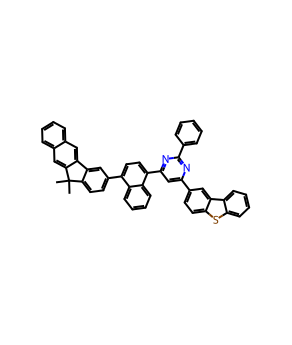 CC1(C)c2ccc(-c3ccc(-c4cc(-c5ccc6sc7ccccc7c6c5)nc(-c5ccccc5)n4)c4ccccc34)cc2-c2cc3ccccc3cc21